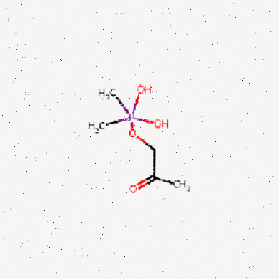 CC(=O)COP(C)(C)(O)O